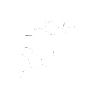 CC(=O)OC1=NN(C2CC2)c2cc3cnc(Nc4ccc(S(N)(=O)=O)c(F)c4)nc3n2C12CCCCC2